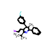 Cc1c(-c2ccccc2)nc(C(C)C)c(/C=C/I)c1-c1ccc(F)cc1